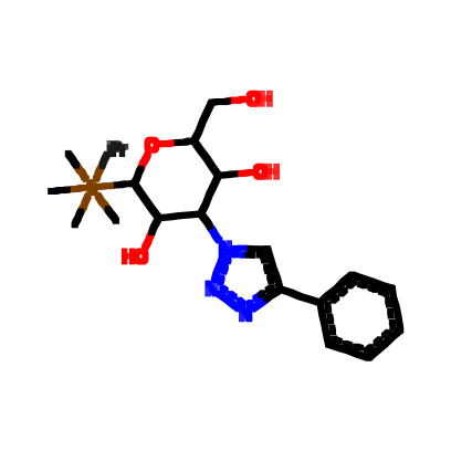 CC(C)S(C)(C)(C)(C)C1OC(CO)C(O)C(n2cc(-c3ccccc3)nn2)C1O